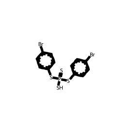 S=P(S)(Sc1ccc(Br)cc1)Sc1ccc(Br)cc1